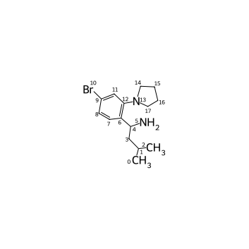 CC(C)CC(N)c1ccc(Br)cc1N1CCCC1